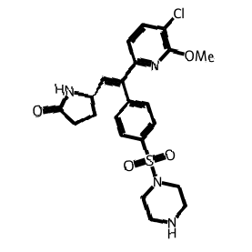 COc1nc(C(=C[C@H]2CCC(=O)N2)c2ccc(S(=O)(=O)N3CCNCC3)cc2)ccc1Cl